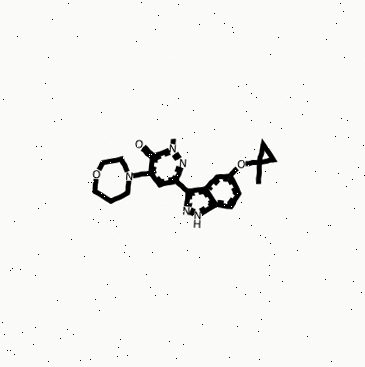 Cn1nc(-c2n[nH]c3ccc(OC4(C)CC4)cc23)cc(N2CCCOCC2)c1=O